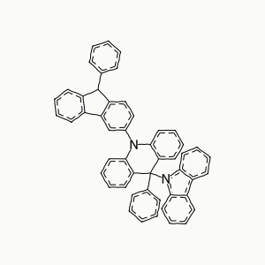 c1ccc(C2c3ccccc3-c3cc(N4c5ccccc5C(c5ccccc5)(n5c6ccccc6c6ccccc65)c5ccccc54)ccc32)cc1